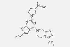 CCCc1cc2c(N3CCn4c(nnc4C(F)(F)F)C3)nc(N3CCC(N(C)C(C)=O)C3)nc2s1